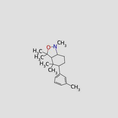 Cc1cccc(C2CCC3C(C(C)(C)ON3C)C2(C)C)c1